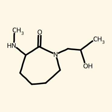 CNC1CCCCN(CC(C)O)C1=O